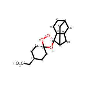 O=C(O)C[C@H]1CC[C@]2(CC1)OO[C@@]1(O2)C2CC3CCC1C(C3)C2